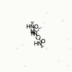 CCCc1c(C(=O)NC2CC2)nnn1-c1ccc(C(=O)NC2CC2)cc1